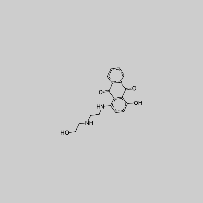 O=C1c2ccccc2C(=O)c2c(NCCNCCO)ccc(O)c21